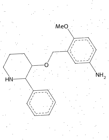 COc1ccc(N)cc1COC1CCCNC1c1ccccc1